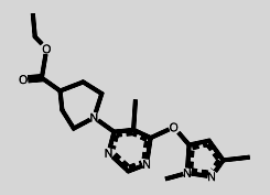 CCOC(=O)C1CCN(c2ncnc(Oc3cc(C)nn3C)c2C)CC1